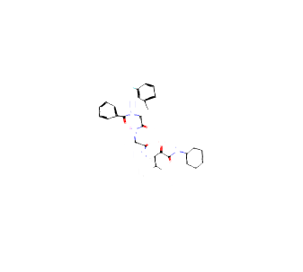 CC(C)[C@H](NC(=O)[C@H](C)NC(=O)[C@@H](Cc1cccc(F)c1)NC(=O)c1ccccc1)C(=O)C(=O)NC1CCCCC1